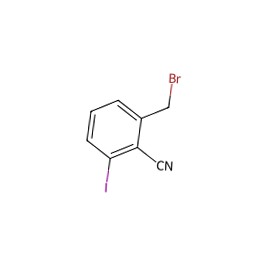 N#Cc1c(I)cccc1CBr